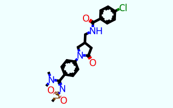 CN(C)C(=NS(C)(=O)=O)c1ccc(N2CC(CNC(=O)c3ccc(Cl)cc3)CC2=O)cc1